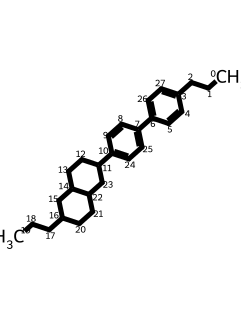 CCCc1ccc(-c2ccc(C3CCC4CC(CCC)CCC4C3)cc2)cc1